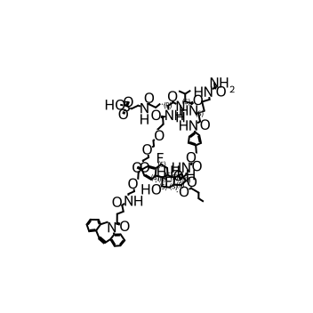 CCCC1O[C@@H]2C[C@H]3[C@@H]4C[C@H](F)C5=CC(=O)C=C[C@]5(C)[C@@]4(F)[C@@H](O)C[C@]3(C)[C@]2(C(=O)CNC(=O)OCc2ccc(NC(=O)[C@H](CCCNC(N)=O)NC(=O)[C@@H](NC(=O)[C@@H](CCC(=O)NCCS(=O)(=O)O)NC(=O)CCOCCOCCOCCOCCNC(=O)CCC(=O)N3Cc4ccccc4C#Cc4ccccc43)C(C)C)cc2)O1